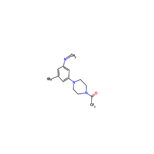 C=Nc1cc(N2CCN(C(=O)C(F)(F)F)CC2)cc(C(C)(C)C)c1